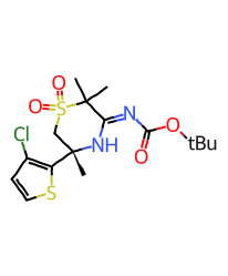 CC(C)(C)OC(=O)/N=C1\N[C@](C)(c2sccc2Cl)CS(=O)(=O)C1(C)C